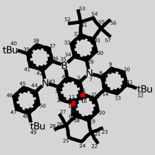 Cc1cc2c3c(c1)N(c1ccc(C(C)(C)C)cc1-c1ccc4c(c1)C(C)(C)CCC4(C)C)c1cc4c(cc1B3c1ccc(C(C)(C)C)cc1N2c1cccc(C(C)(C)C)c1)C(C)(C)CC4(C)C